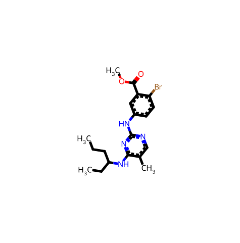 CCCC(CC)Nc1nc(Nc2ccc(Br)c(C(=O)OC)c2)ncc1C